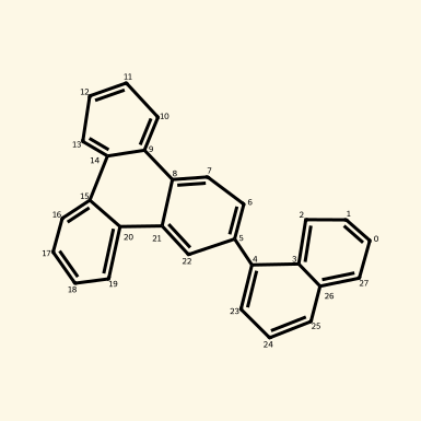 c1ccc2c(-c3ccc4c5ccccc5c5ccccc5c4c3)cccc2c1